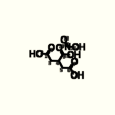 O=C(O)CC(CC(=O)O)C(=O)O.O=NO